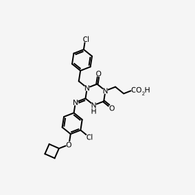 O=C(O)CCn1c(=O)[nH]/c(=N\c2ccc(OC3CCC3)c(Cl)c2)n(Cc2ccc(Cl)cc2)c1=O